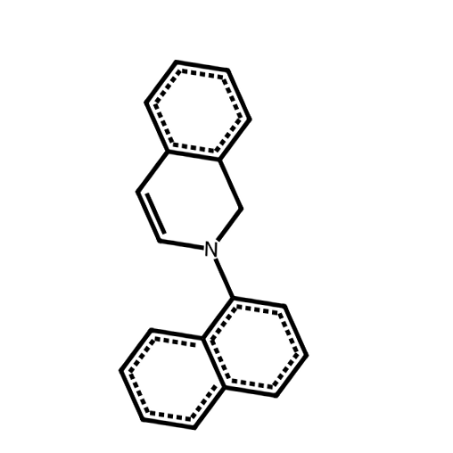 C1=CN(c2cccc3ccccc23)Cc2ccccc21